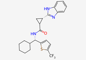 O=C(N[C@H](c1ccc(C(F)(F)F)s1)C1CCCCC1)C1C[C@@H]1c1nc2ccccc2[nH]1